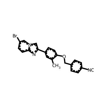 [C-]#[N+]c1ccc(COc2ccc(-c3cn4cc(Br)ccc4n3)cc2C)cc1